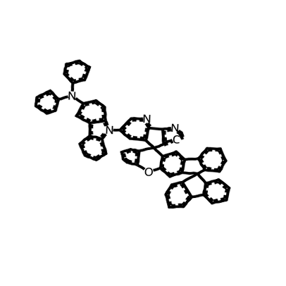 c1ccc(N(c2ccccc2)c2ccc3c(c2)c2ccccc2n3-c2cnc3c(c2)C2(c4ccccc4Oc4cc5c(cc42)-c2ccccc2C52c4ccccc4-c4ccccc42)c2cccnc2-3)cc1